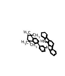 CC1(C)CCC(C)(C)c2cc(-c3cccc(-n4c5ccccc5c5ccc6c7c([nH]c6c54)=CCCC=7)c3)ccc21